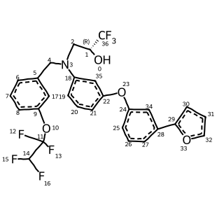 O[C@H](CN(Cc1cccc(OC(F)(F)C(F)F)c1)c1cccc(Oc2cccc(-c3ccco3)c2)c1)C(F)(F)F